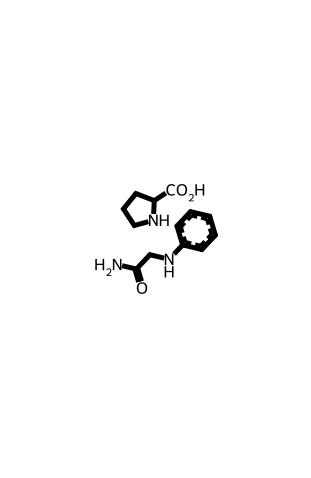 NC(=O)CNc1ccccc1.O=C(O)C1CCCN1